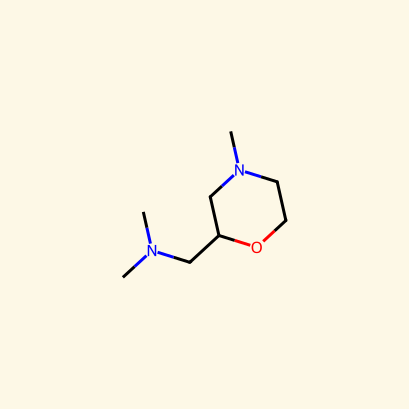 CN(C)CC1CN(C)CCO1